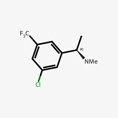 CN[C@H](C)c1cc(Cl)cc(C(F)(F)F)c1